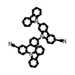 N#Cc1ccc(-n2c3ccccc3c3ccccc32)c(-c2ccc(-n3c4ccc(C#N)cc4c4ccc(-n5c6ccccc6c6ccccc65)cc43)cc2)c1